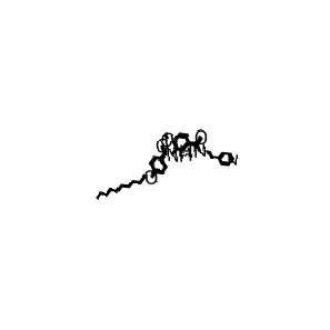 CCCCCCCCCCOc1ccc(C(=O)Nc2cc(C(=O)NCCc3ccncc3)ccc2OC)cc1